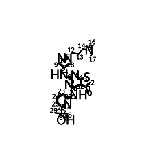 Cc1csc2nc(Nc3cnn(CCCN(C)C)c3)nc(Nc3cccc(C(C)(C)O)n3)c12